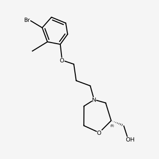 Cc1c(Br)cccc1OCCCN1CCO[C@@H](CO)C1